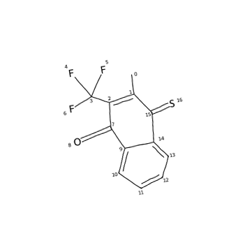 CC1=C(C(F)(F)F)C(=O)c2ccccc2C1=S